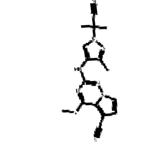 CNc1nc(Nc2cn(C(C)(C)C#N)nc2C)nn2ccc(C#N)c12